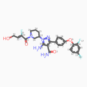 NC(=O)c1c(-c2ccc(Oc3ccc(F)cc3F)cc2)nn(C2CCCN(C(=O)/C(F)=C/CO)C2)c1N